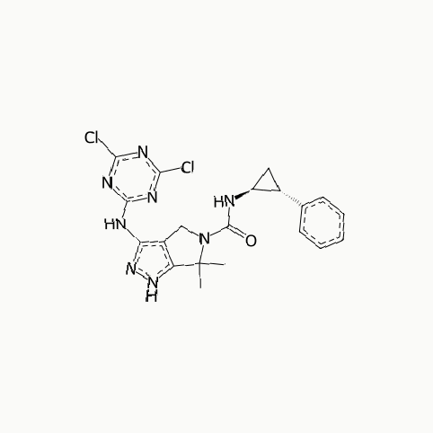 CC1(C)c2[nH]nc(Nc3nc(Cl)nc(Cl)n3)c2CN1C(=O)N[C@H]1C[C@@H]1c1ccccc1